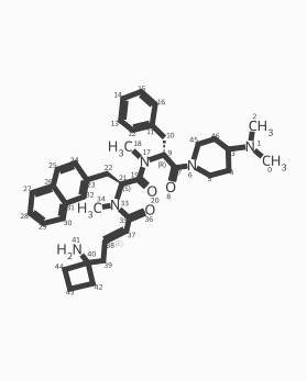 CN(C)C1CCN(C(=O)[C@@H](Cc2ccccc2)N(C)C(=O)[C@H](Cc2ccc3ccccc3c2)N(C)C(=O)/C=C/CC2(N)CCC2)CC1